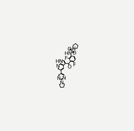 O=C(c1c(F)ccc(NS(=O)(=O)N2CCCC2)c1F)c1c[nH]c2ncc(-c3cnc(N4CCCC4)nc3)cc12